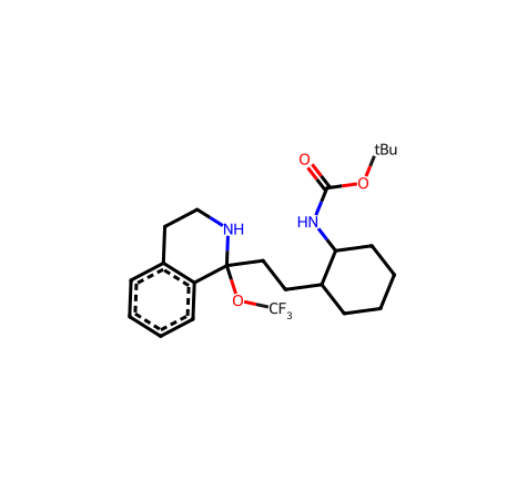 CC(C)(C)OC(=O)NC1CCCCC1CCC1(OC(F)(F)F)NCCc2ccccc21